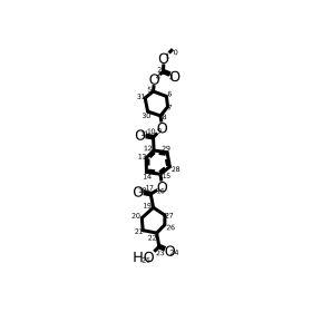 COC(=O)OC1CCC(OC(=O)c2ccc(OC(=O)C3CCC(C(=O)O)CC3)cc2)CC1